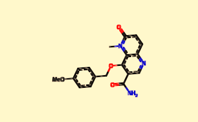 COc1ccc(COc2c(C(N)=O)cnc3ccc(=O)n(C)c23)cc1